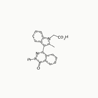 Cc1c(-c2nn(C(C)C)c(=O)c3ccccc23)c2ccccc2n1CC(=O)O